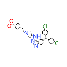 COC(=O)c1ccc(CCN2CCC(Nc3ncnc4ccc(C(c5ccc(Cl)cc5)c5ccc(Cl)cc5)cc34)CC2)cc1